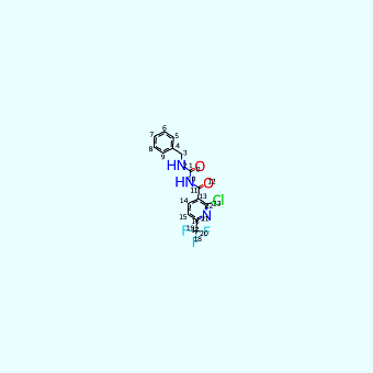 O=C(NCc1ccccc1)NC(=O)c1ccc(C(F)(F)F)nc1Cl